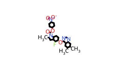 Cc1cc2ncnc(Oc3ccc4c(cc(C)n4C(=O)Oc4ccc([N+](=O)[O-])cc4)c3F)c2cc1C